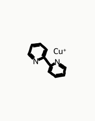 [Cu+].c1ccc(-c2ccccn2)nc1